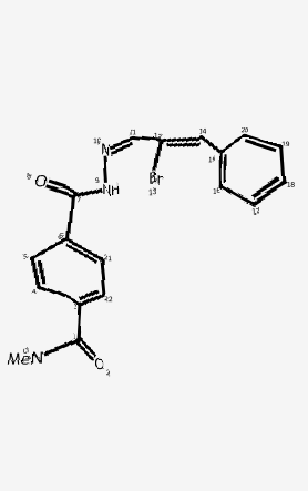 CNC(=O)c1ccc(C(=O)N/N=C\C(Br)=C\c2ccccc2)cc1